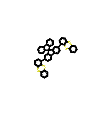 c1ccc2c(c1)Sc1cccc(-c3ccc4c(c3)C3(c5ccccc5-c5ccccc53)c3cc(-c5cccc6c5Sc5ccccc5S6)ccc3-4)c1S2